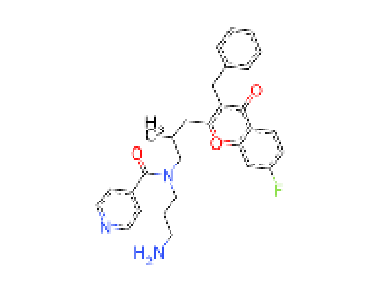 CC(Cc1oc2cc(F)ccc2c(=O)c1Cc1ccccc1)CN(CCCN)C(=O)c1ccncc1